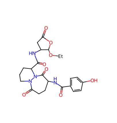 CCOC1OC(=O)CC1NC(=O)C1CCCN2C(=O)CCC(NC(=O)c3ccc(O)cc3)C(=O)N12